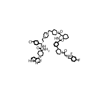 NC1(C(=O)N[C@@H](CCN2CCN(CC3CCN(C(=O)[C@H](NC(=O)c4cccc(C5CCCN(C(=O)CNCc6ccc(F)cc6F)C5)c4)C4CCCCC4)CC3)CC2)c2ccc(Cl)cc2)CCN(c2ncnc3[nH]ccc23)CC1